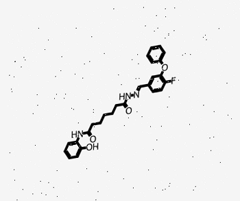 O=C(CCCCCC(=O)Nc1ccccc1O)NN=Cc1ccc(F)c(Oc2ccccc2)c1